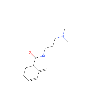 C=C1C=CCCC1C(=O)NCCCN(C)C